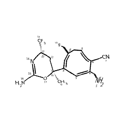 C[C@@]1(c2cc(N)c(C#N)cc2F)C[C@@H](C(F)(F)F)N=C(N)O1